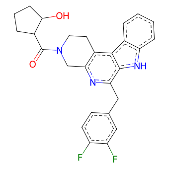 O=C(C1CCCC1O)N1CCc2c(nc(Cc3ccc(F)c(F)c3)c3[nH]c4ccccc4c23)C1